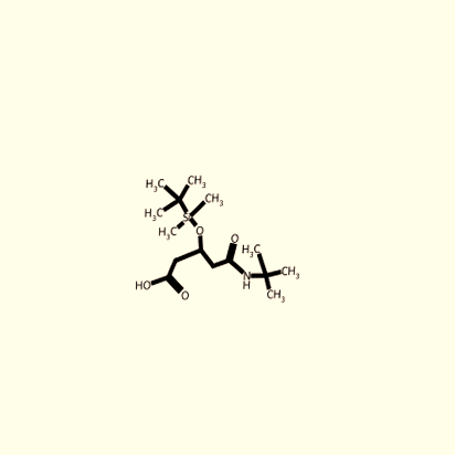 CC(C)(C)NC(=O)CC(CC(=O)O)O[Si](C)(C)C(C)(C)C